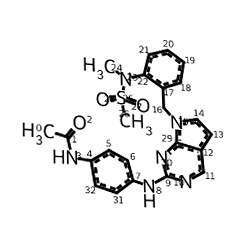 CC(=O)Nc1ccc(Nc2ncc3ccn(Cc4ccccc4N(C)S(C)(=O)=O)c3n2)cc1